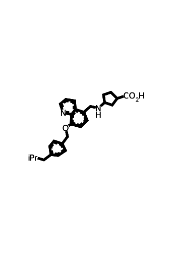 CC(C)Cc1ccc(COc2ccc(CNC3CCC(C(=O)O)C3)c3cccnc23)cc1